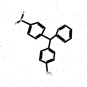 Cc1ccc(C(c2ccccc2)c2ccc(B(F)F)cc2)cc1